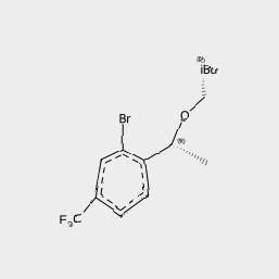 CC[C@@H](C)CO[C@H](C)c1ccc(C(F)(F)F)cc1Br